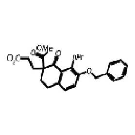 CCCc1c(OCc2ccccc2)ccc2c1C(=O)C(CCC(=O)OCC)(C(=O)OC)CC2